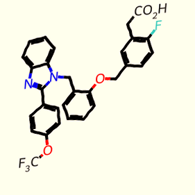 O=C(O)Cc1cc(COc2ccccc2Cn2c(-c3ccc(OC(F)(F)F)cc3)nc3ccccc32)ccc1F